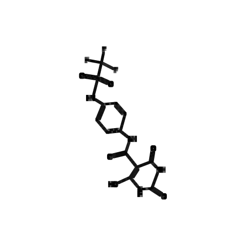 O=C(Nc1ccc(NS(=O)(=O)C(F)(F)F)cc1)c1c(O)[nH]c(=O)[nH]c1=O